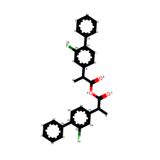 CC(C(=O)OC(=O)C(C)c1ccc(-c2ccccc2)c(F)c1)c1ccc(-c2ccccc2)c(F)c1